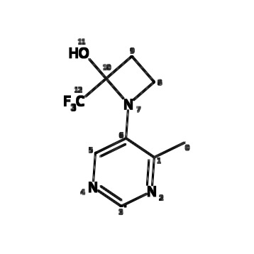 Cc1n[c]ncc1N1CCC1(O)C(F)(F)F